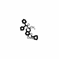 COc1ccc2c(c1OCc1ccccc1)C[C@@H](C)N(C(=O)C(c1ccccc1)c1ccccc1)C2